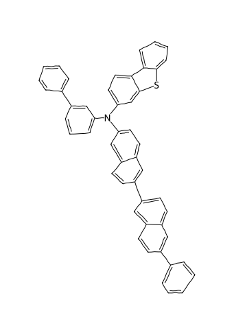 c1ccc(-c2cccc(N(c3ccc4cc(-c5ccc6cc(-c7ccccc7)ccc6c5)ccc4c3)c3ccc4c(c3)sc3ccccc34)c2)cc1